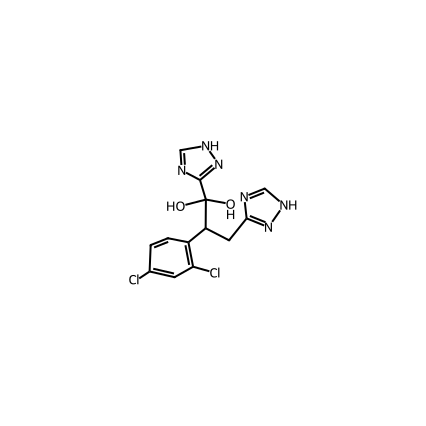 OC(O)(c1nc[nH]n1)C(Cc1nc[nH]n1)c1ccc(Cl)cc1Cl